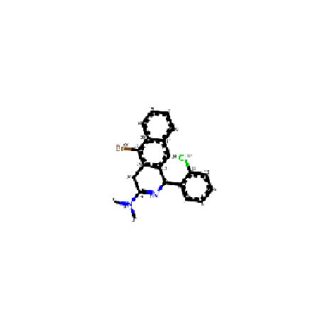 CN(C)C1=NC(c2ccccc2Cl)c2cc3ccccc3c(Br)c2C1